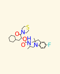 CC(CN1c2ccc(F)cc2CC1(C)C)NC(=O)OC(CC1CCCCC1)C(=O)N1CCSCC1